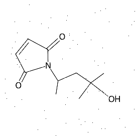 CC(CC(C)(C)O)N1C(=O)C=CC1=O